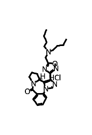 CCCCN(CCCC)Cc1nc(-c2ncn3c2[C@@H]2CCCN2C(=O)c2ccccc2-3)no1.Cl